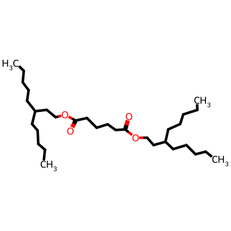 CCCCCC(CCCCC)CCOC(=O)CCCCC(=O)OCCC(CCCCC)CCCCC